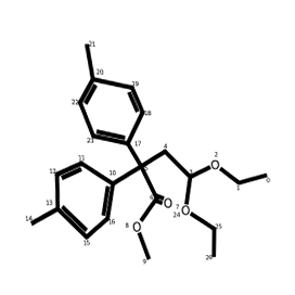 CCOC(CC(C(=O)OC)(c1ccc(C)cc1)c1ccc(C)cc1)OCC